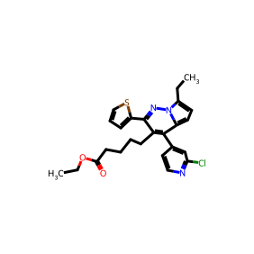 CCOC(=O)CCCCc1c(-c2cccs2)nn2c(CC)ccc2c1-c1ccnc(Cl)c1